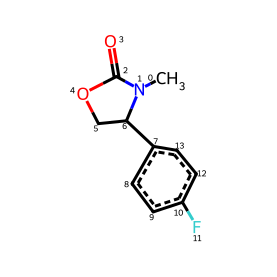 CN1C(=O)OCC1c1ccc(F)cc1